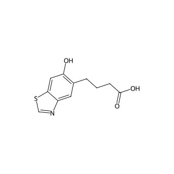 O=C(O)CCCc1cc2ncsc2cc1O